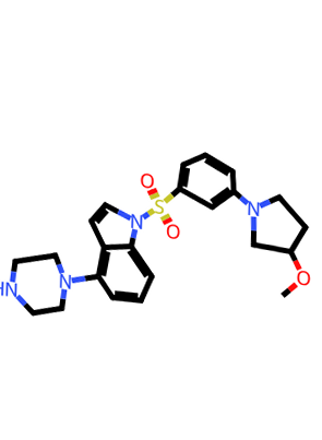 COC1CCN(c2cccc(S(=O)(=O)n3ccc4c(N5CCNCC5)cccc43)c2)C1